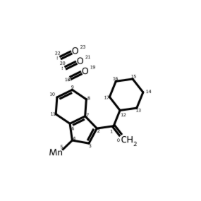 C=C(C1=C[CH]([Mn])C2=C1CC=CC2)C1CCCCC1.[C]=O.[C]=O.[C]=O